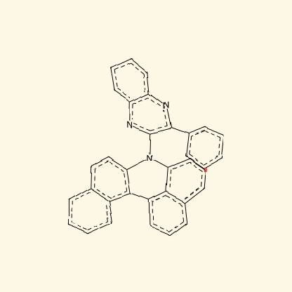 c1ccc(-c2nc3ccccc3nc2N2c3ccc4ccccc4c3-c3cccc4cccc2c34)cc1